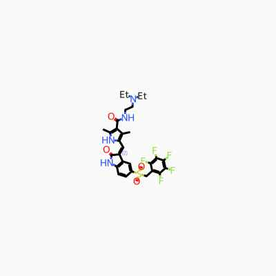 CCN(CC)CCNC(=O)c1c(C)[nH]c(/C=C2\C(=O)Nc3ccc(S(=O)(=O)Cc4c(F)c(F)c(F)c(F)c4F)cc32)c1C